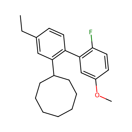 CCc1ccc(-c2cc(OC)ccc2F)c(C2CCCCCCC2)c1